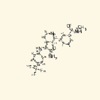 CNC(=O)c1cccc(-c2nccc3c(Nc4ccc(C(F)(F)F)cc4)c(N)oc23)c1